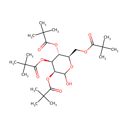 CC(C)(C)C(=O)OC[C@H]1OC(O)[C@@H](OC(=O)C(C)(C)C)[C@@H](OC(=O)C(C)(C)C)[C@@H]1OC(=O)C(C)(C)C